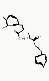 O=C(NC[C@@H](Cc1ccc(F)c(F)c1)C(=O)O)OCc1ccccc1